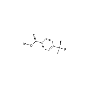 O=C(OBr)c1ccc(C(F)(F)F)cc1